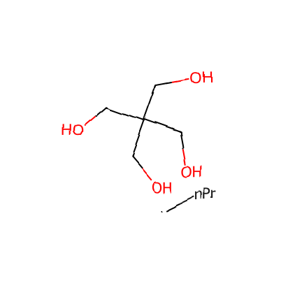 OCC(CO)(CO)CO.[CH2]CCC